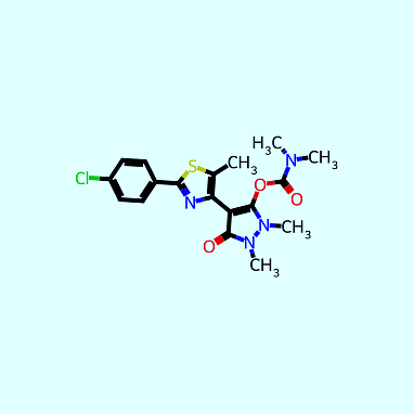 Cc1sc(-c2ccc(Cl)cc2)nc1-c1c(OC(=O)N(C)C)n(C)n(C)c1=O